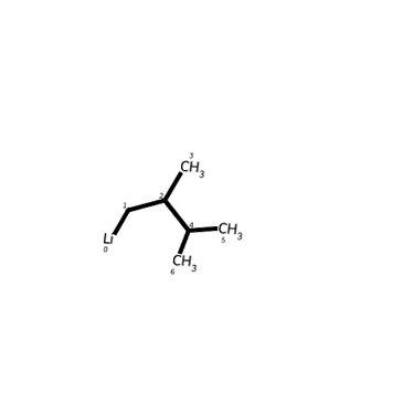 [Li][CH2]C(C)C(C)C